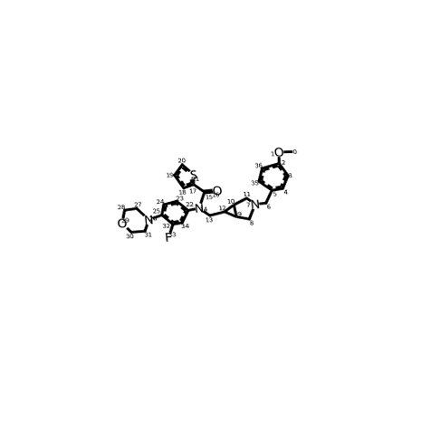 COc1ccc(CN2CC3C(C2)C3CN(C(=O)c2cccs2)c2ccc(N3CCOCC3)c(F)c2)cc1